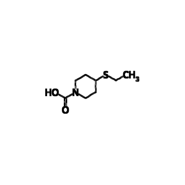 CCSC1CCN(C(=O)O)CC1